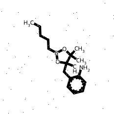 CCCCCB1OC(C)(C)C(C)(Cc2ccccc2N)O1